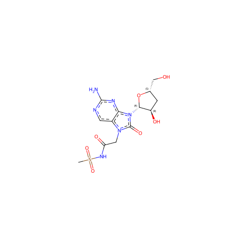 CS(=O)(=O)NC(=O)Cn1c(=O)n([C@@H]2O[C@H](CO)C[C@H]2O)c2nc(N)ncc21